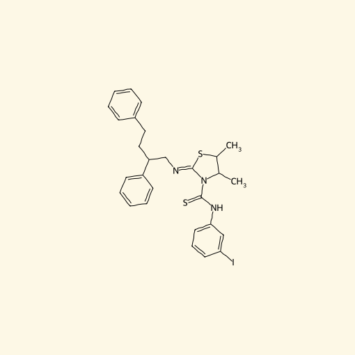 CC1SC(=NCC(CCc2ccccc2)c2ccccc2)N(C(=S)Nc2cccc(I)c2)C1C